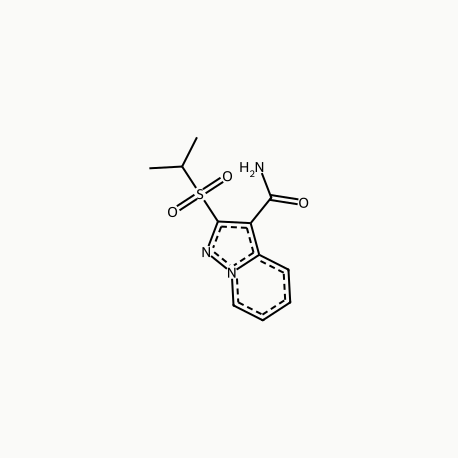 CC(C)S(=O)(=O)c1nn2ccccc2c1C(N)=O